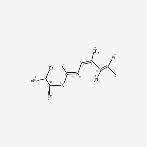 CCCC(CC)[C@H](CC)N/C(C)=N/C=C(\C(N)=C(\C)CC)C(F)(F)F